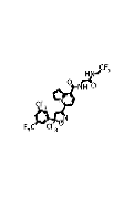 O=C(CNC(=O)c1ccc(C2=NOC(c3cc(C(F)(F)F)cc(C(F)(F)F)c3)(C(F)(F)F)C2)n2cccc12)NCC(F)(F)F